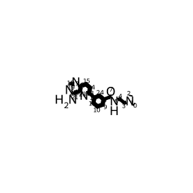 CN(C)CCNC(=O)c1cccc(-c2ccc3ncnc(N)c3n2)c1